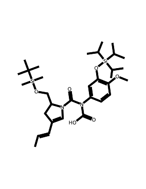 CC=CC1=CN(C(=O)N(C(=O)O)c2ccc(OC)c(O[Si](C(C)C)(C(C)C)C(C)C)c2)C(CO[Si](C)(C)C(C)(C)C)C1